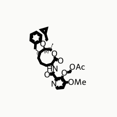 COc1ccnc(C(=O)N[C@H]2CCC[C@H](Cc3ccccc3)[C@@H](OCC3CC3)[C@H](C)OC2=O)c1OCOC(C)=O